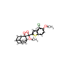 COc1ccc2sc(C3(OC)OOC34C3CC5CC(C3)CC4C5)cc2c1Cl